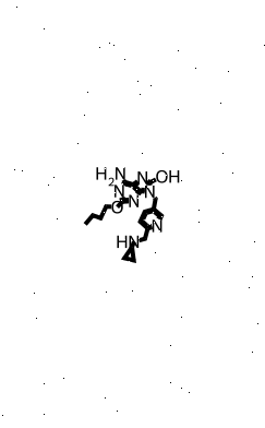 CCCCOc1nc(N)c2nc(O)n(Cc3ccc(CNC4CC4)nc3)c2n1